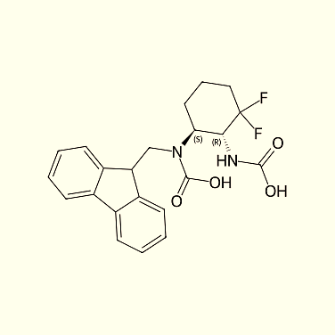 O=C(O)N[C@@H]1[C@@H](N(CC2c3ccccc3-c3ccccc32)C(=O)O)CCCC1(F)F